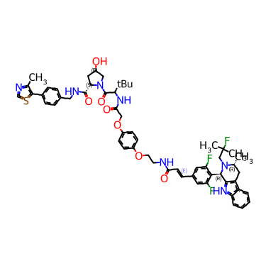 Cc1ncsc1-c1ccc(CNC(=O)[C@@H]2C[C@@H](O)CN2C(=O)C(NC(=O)COc2ccc(OCCNC(=O)/C=C/c3cc(F)c([C@@H]4c5[nH]c6ccccc6c5C[C@@H](C)N4CC(C)(C)F)c(F)c3)cc2)C(C)(C)C)cc1